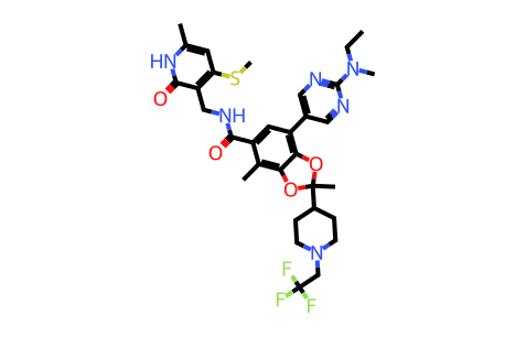 CCN(C)c1ncc(-c2cc(C(=O)NCc3c(SC)cc(C)[nH]c3=O)c(C)c3c2OC(C)(C2CCN(CC(F)(F)F)CC2)O3)cn1